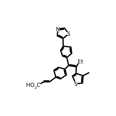 CCC(=C(c1ccc(C=CC(=O)O)cc1)c1ccc(-c2cncs2)cc1)c1cscc1C